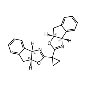 c1ccc2c(c1)C[C@H]1OC(C3(C4=N[C@H]5c6ccccc6C[C@H]5O4)CC3)=N[C@@H]21